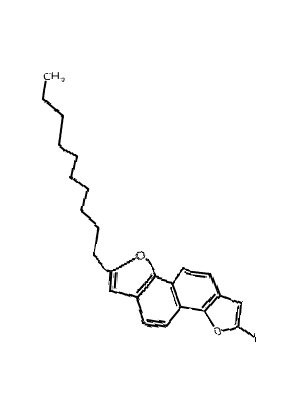 CCCCCCCCCCc1cc2ccc3c(ccc4cc(I)oc43)c2o1